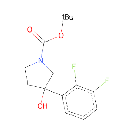 CC(C)(C)OC(=O)N1CCC(O)(c2cccc(F)c2F)C1